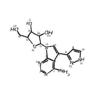 Nc1ncnc2c1c(-c1cc[nH]n1)cn2C1OC(CO)C(O)C1O